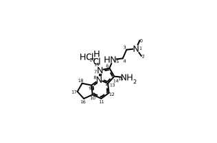 CN(C)CCNc1nn2c3c(ccc2c1N)CCC3.Cl.Cl